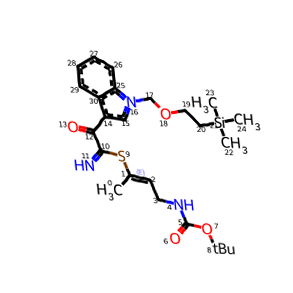 C/C(=C\CNC(=O)OC(C)(C)C)SC(=N)C(=O)c1cn(COCC[Si](C)(C)C)c2ccccc12